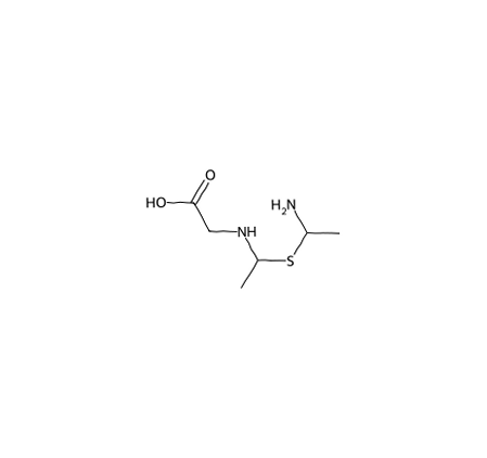 CC(N)SC(C)NCC(=O)O